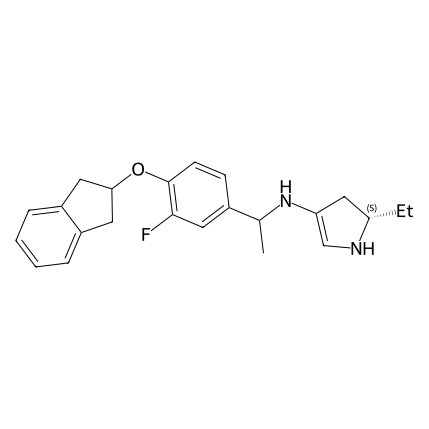 CC[C@H]1CC(NC(C)c2ccc(OC3Cc4ccccc4C3)c(F)c2)=CN1